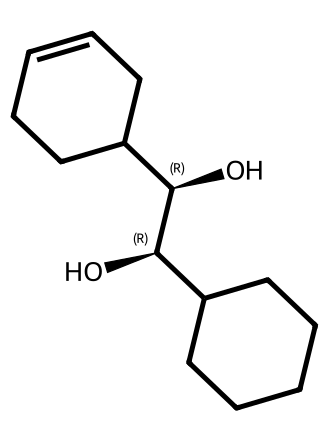 O[C@H](C1CC=CCC1)[C@H](O)C1CCCCC1